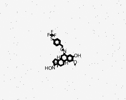 COc1cc2c(cc1O)C(=NOCc1ccc(SC(F)(F)F)cc1)C[C@@H]1[C@@H]2CC[C@]2(C)C(=NO)CC[C@@H]12